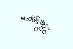 COC(=O)Oc1sc(C2=NOC(c3cc(Cl)cc(Cl)c3)(C(F)(F)F)C2)c2c1CCC2